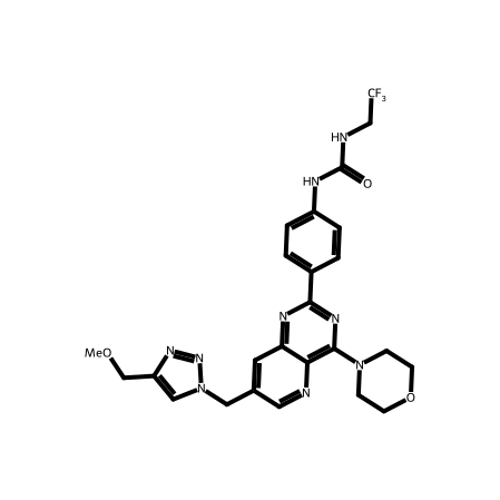 COCc1cn(Cc2cnc3c(N4CCOCC4)nc(-c4ccc(NC(=O)NCC(F)(F)F)cc4)nc3c2)nn1